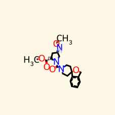 CO/N=C1\C[C@@H](C(=O)OC)N(C(=O)N2CCC3(CC2)OCc2ccccc23)C1